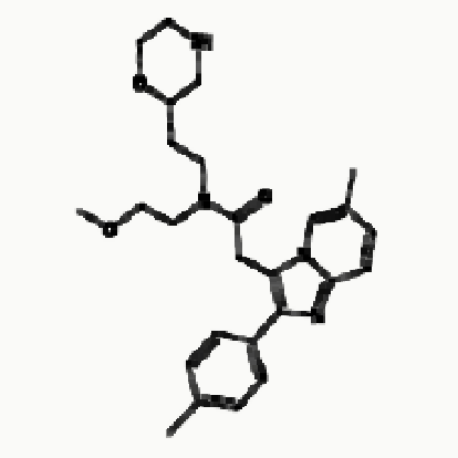 COCCN(CCC1CNCCO1)C(=O)Cc1c(-c2ccc(C)cc2)nc2ccc(C)cn12